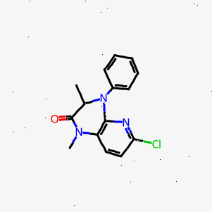 CC1C(=O)N(C)c2ccc(Cl)nc2N1c1ccccc1